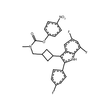 CN(CC1CC(c2c(-c3ccc(F)cc3)[nH]c3c(F)cc(F)cc23)C1)C(=O)Oc1ccc([N+](=O)[O-])cc1